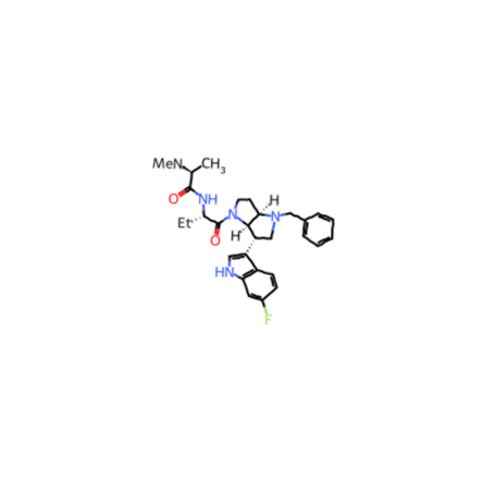 CC[C@H](NC(=O)[C@H](C)NC)C(=O)N1CC[C@@H]2[C@H]1[C@@H](c1c[nH]c3cc(F)ccc13)CN2Cc1ccccc1